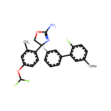 COc1ccc(F)c(-c2cccc([C@]3(c4ccc(OC(F)F)cc4C)COC(N)=N3)c2)c1